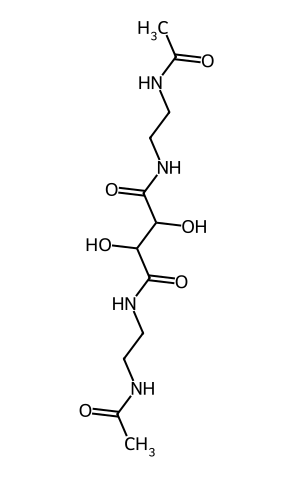 CC(=O)NCCNC(=O)C(O)C(O)C(=O)NCCNC(C)=O